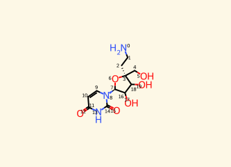 NCC[C@@]1(CO)O[C@H](n2ccc(=O)[nH]c2=O)C(O)C1O